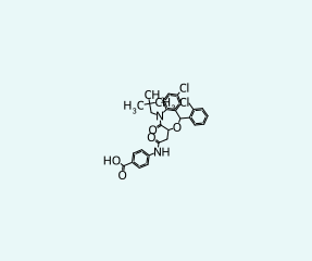 CC(C)(C)CN1C(=O)C(CC(=O)Nc2ccc(C(=O)O)cc2)OC(c2ccccc2Cl)c2cc(Cl)ccc21